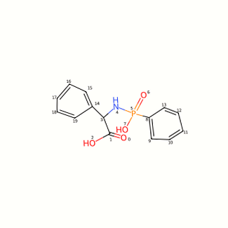 O=C(O)C(NP(=O)(O)c1ccccc1)c1ccccc1